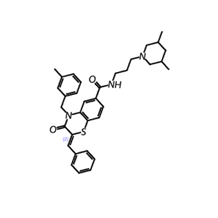 Cc1cccc(CN2C(=O)/C(=C/c3ccccc3)Sc3ccc(C(=O)NCCCN4CC(C)CC(C)C4)cc32)c1